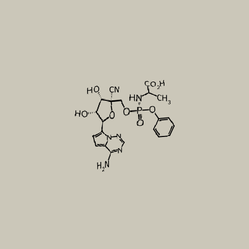 CC(N[P@](=O)(OC[C@@]1(C#N)O[C@@H](c2ccc3c(N)ncnn23)[C@H](O)[C@@H]1O)Oc1ccccc1)C(=O)O